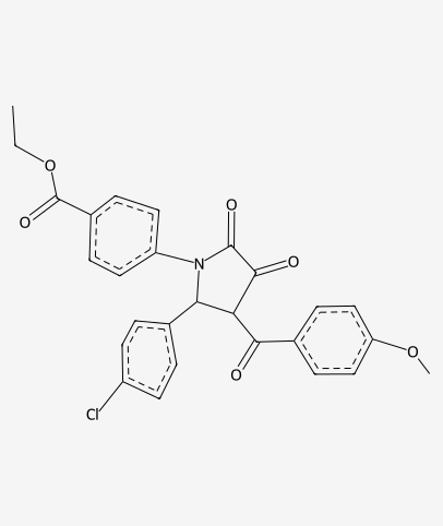 CCOC(=O)c1ccc(N2C(=O)C(=O)C(C(=O)c3ccc(OC)cc3)C2c2ccc(Cl)cc2)cc1